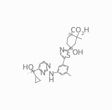 Cc1cc(Nc2nccc([C@](C)(O)C3CC3)n2)cc(-c2cnc([C@@]3(O)CC[C@H](C(=O)O)C(C)(C)C3)s2)c1